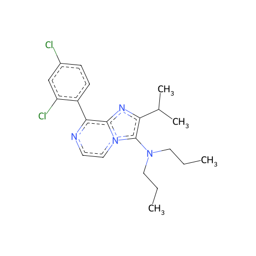 CCCN(CCC)c1c(C(C)C)nc2c(-c3ccc(Cl)cc3Cl)nccn12